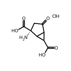 Cl.N[C@]1(C(=O)O)CC(=O)C2C(C(=O)O)C21